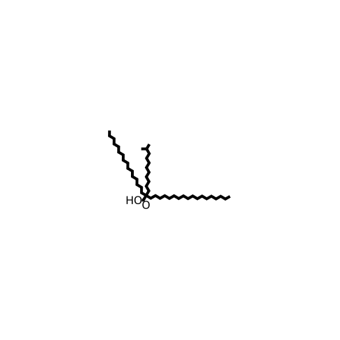 CCCCCCCCCCCCCCCCCCC(CCCCCCCCCCCCCCCC)(CCCCCCCCCC(C)C)C(=O)O